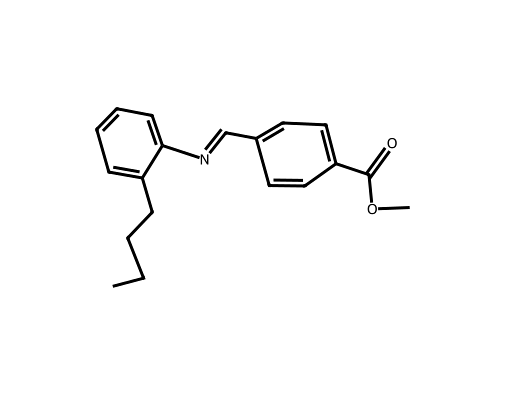 CCCCc1ccccc1/N=C/c1ccc(C(=O)OC)cc1